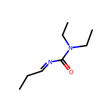 CCC=NC(=O)N(CC)CC